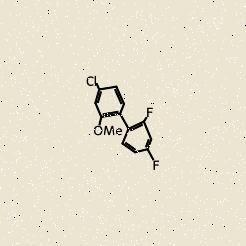 COc1cc(Cl)ccc1-c1ccc(F)cc1F